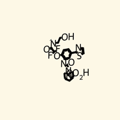 CN(CCO)C(=O)C(F)(F)Oc1ccc(-c2nccs2)c2oc(N3CC4CC(C3)N4C(=O)O)nc12